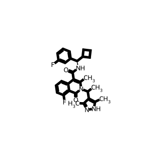 Cc1n[nH]c(C)c1C(C)n1c(C)c(C(=O)N[C@H](c2cccc(F)c2)C2CCC2)c2cccc(F)c2c1=O